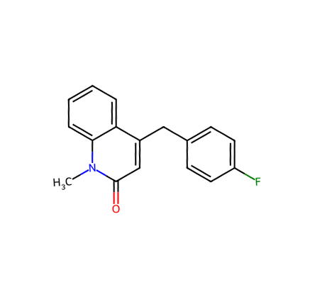 Cn1c(=O)cc(Cc2ccc(F)cc2)c2ccccc21